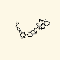 COCC1CN(c2cncc(-c3ccc4cnc(CNC(=O)c5ccc6c(c5)[C@](C)(C#N)COC6)cc4n3)n2)C1